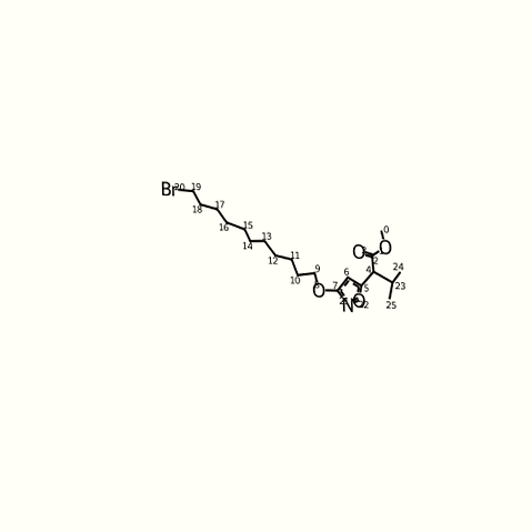 COC(=O)C(c1cc(OCCCCCCCCCCCBr)no1)C(C)C